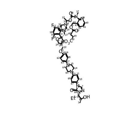 CC[C@@H]([C@H](C)O)n1ncn(-c2ccc(N3CCN(c4ccc(OC[C@@H]5CO[C@@](Cn6c[n+](C(C)OC(=O)N(C)c7ncccc7COC(=O)CCC(=O)O)cn6)(c6ccc(F)cc6F)C5)cc4)CC3)cc2)c1=O